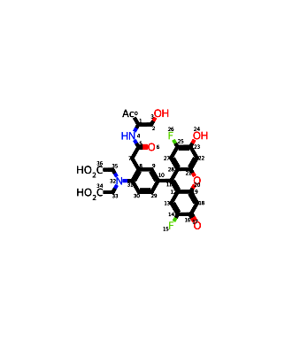 CC(=O)C(CO)NC(=O)Cc1cc(-c2c3cc(F)c(=O)cc-3oc3cc(O)c(F)cc23)ccc1N(CC(=O)O)CC(=O)O